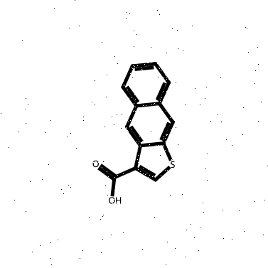 O=C(O)c1csc2cc3ccccc3cc12